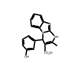 CCOC(=O)C1=C(C)Nc2nc3ccccc3n2C1c1cccc(O)c1